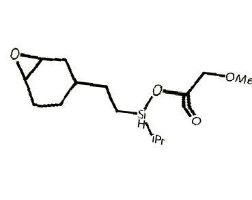 COCC(=O)O[SiH](CCC1CCC2OC2C1)C(C)C